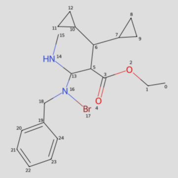 CCOC(=O)C(C(C1CC1)C1CC1)C(NC)N(Br)Cc1ccccc1